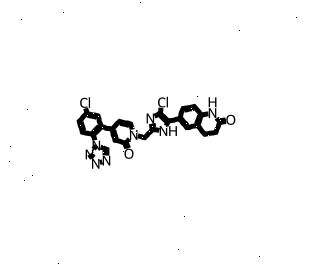 O=C1CCc2cc(-c3[nH]c(Cn4ccc(-c5cc(Cl)ccc5-n5cnnn5)cc4=O)nc3Cl)ccc2N1